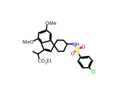 CCOC(=O)C(C)C1=CC2(CCC(NS(=O)(=O)c3ccc(Cl)cc3)CC2)c2cc(OC)cc(OC)c21